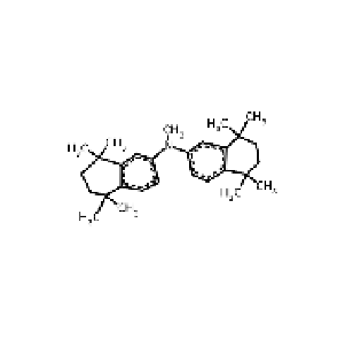 CN(c1ccc2c(c1)C(C)(C)CCC2(C)C)c1ccc2c(c1)C(C)(C)CCC2(C)C